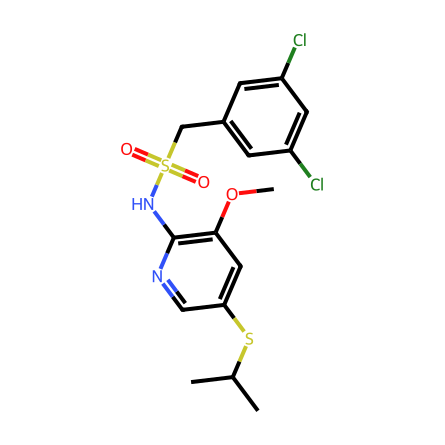 COc1cc(SC(C)C)cnc1NS(=O)(=O)Cc1cc(Cl)cc(Cl)c1